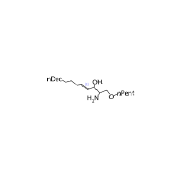 CCCCCCCCCCCCC/C=C/C(O)C(N)COCCCCC